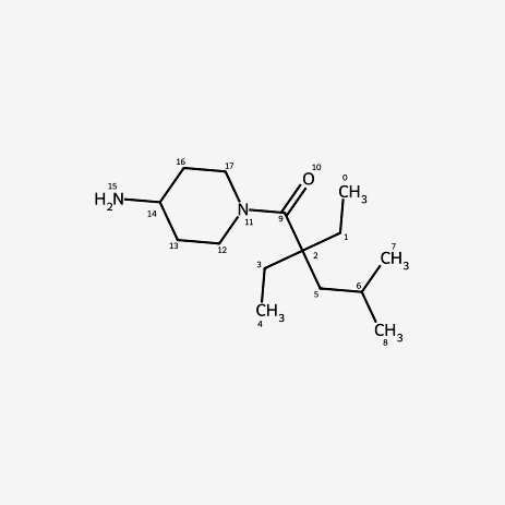 CCC(CC)(CC(C)C)C(=O)N1CCC(N)CC1